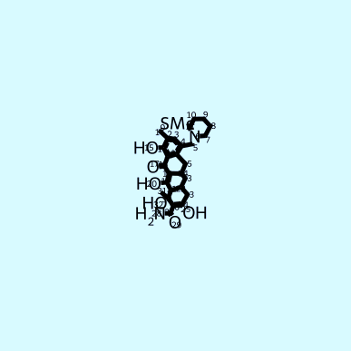 CSCc1cc(CN2CCCCC2)c2c(c1O)C(=O)C1=C(O)C3C(CC(O)=C(C(N)=O)C3(C)O)CC1C2